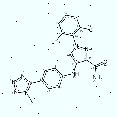 Cn1nnnc1-c1ccc(Nc2cn(-c3c(Cl)cccc3Cl)nc2C(N)=O)cc1